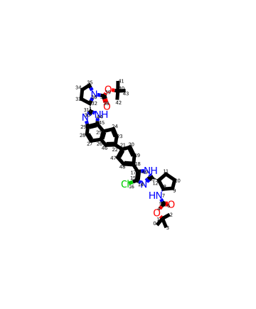 CC(C)(C)OC(=O)N[C@H]1CCC[C@H]1c1nc(Cl)c(-c2ccc(-c3ccc4c(ccc5nc([C@@H]6CCCN6C(=O)OC(C)(C)C)[nH]c54)c3)cc2)[nH]1